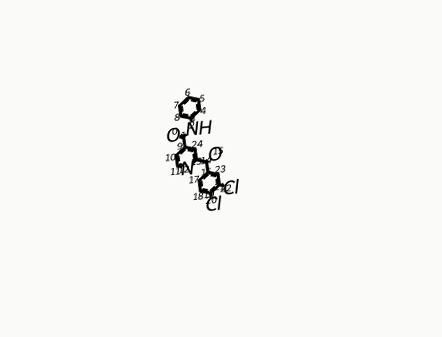 O=C(Nc1ccccc1)c1ccnc(C(=O)c2ccc(Cl)c(Cl)c2)c1